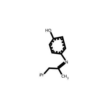 CC(CC(C)C)=Nc1ccc(O)cc1